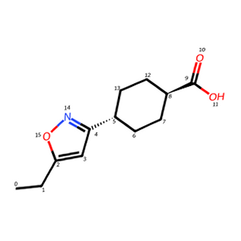 CCc1cc([C@H]2CC[C@H](C(=O)O)CC2)no1